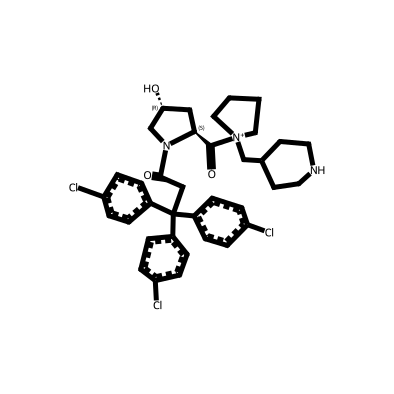 O=C(CC(c1ccc(Cl)cc1)(c1ccc(Cl)cc1)c1ccc(Cl)cc1)N1C[C@H](O)C[C@H]1C(=O)[N+]1(CC2CCNCC2)CCCC1